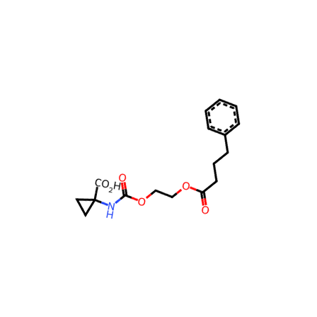 O=C(CCCc1ccccc1)OCCOC(=O)NC1(C(=O)O)CC1